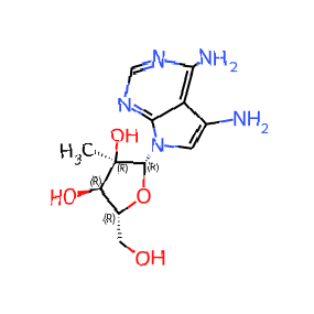 C[C@@]1(O)[C@H](O)[C@@H](CO)O[C@H]1n1cc(N)c2c(N)ncnc21